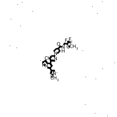 COC(CNC(=O)C1CCN(c2ccc(-c3cc(-c4cnn(C)c4)cn4ncc(C)c34)cn2)CC1)C(F)(F)F